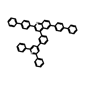 c1ccc(-c2ccc(-c3ccc4nc(-c5ccc(-c6ccccc6)cc5)cc(-c5cccc(-c6cc(-c7ccccc7)nc(-c7ccccc7)c6)c5)c4c3)cc2)cc1